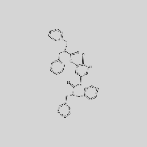 O=C(Oc1c[nH]c(=O)c(OC(=O)N(Cc2ccccc2)Cc2ccccc2)c1)N(Cc1ccccc1)Cc1ccccc1